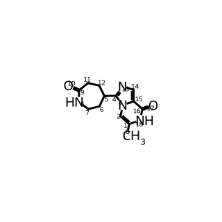 Cc1cn2c(C3CCNC(=O)CC3)ncc2c(=O)[nH]1